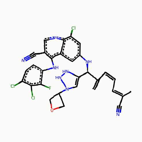 C=C(/C=C\C=C(/C)C#N)[C@H](Nc1cc(Cl)c2ncc(C#N)c(Nc3ccc(Cl)c(Cl)c3F)c2c1)C1=CN(C2COC2)NN1